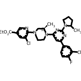 CCOC(=O)c1cnc(N2CCN(c3cc(-c4ccc(F)c(Cl)c4)nc(N4CCCC4C)n3)[C@H](C)C2)c(Cl)c1